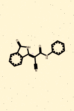 N#C/C(C(=O)Nc1ccccc1)=C1/NC(=O)c2ccccc21